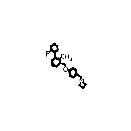 Cc1c(COc2ccc(CN3CCC3)cc2)cccc1-c1ccccc1F